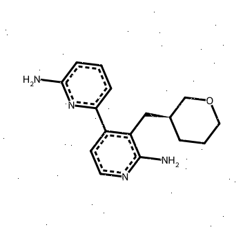 Nc1cccc(-c2ccnc(N)c2C[C@@H]2CCCOC2)n1